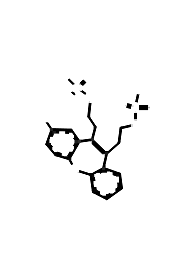 CS(=O)(=O)OCCC1=C(CCOS(C)(=O)=O)c2cc(Cl)ccc2Sc2ccccc21